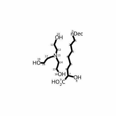 CCCCCCCCCCCCCCCCC(O)C(=O)O.OCCN(CCO)CCO